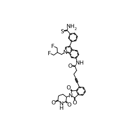 NC(=S)c1cccc(-c2cn(CC(CF)CF)c3cc(NC(=O)CCC#Cc4cccc5c4C(=O)N(C4CCC(=O)NC4=O)C5=O)ccc23)c1